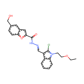 CCOCCn1c(Cl)c(/C=N/NC(=O)c2cc3cc(CO)ccc3o2)c2ccccc21